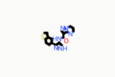 O=C(Nc1c[nH]nc1-c1ccc2sccc2c1)c1cnn2cccnc12